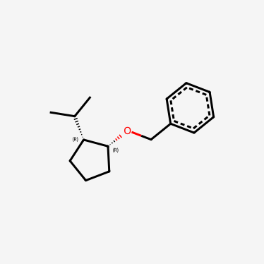 CC(C)[C@H]1CCC[C@H]1OCc1ccccc1